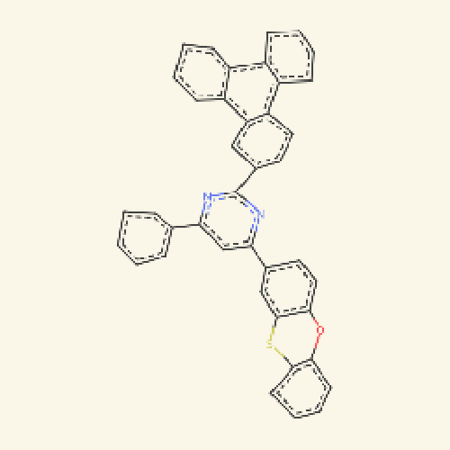 c1ccc(-c2cc(-c3ccc4c(c3)Sc3ccccc3O4)nc(-c3ccc4c5ccccc5c5ccccc5c4c3)n2)cc1